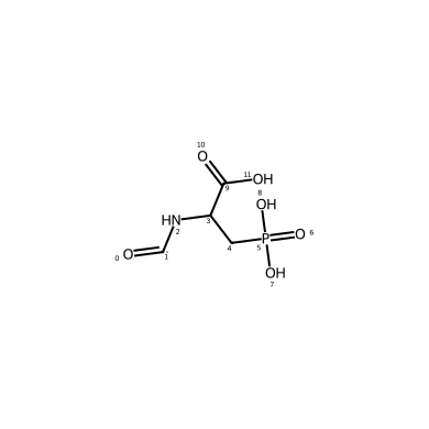 O=[C]NC(CP(=O)(O)O)C(=O)O